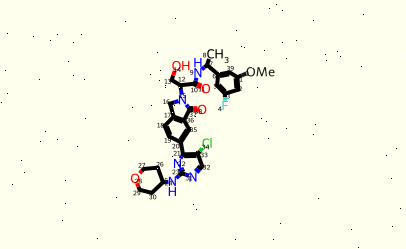 COc1cc(F)cc(C(C)NC(=O)C(CO)N2Cc3ccc(-c4nc(NC5CCOCC5)ncc4Cl)cc3C2=O)c1